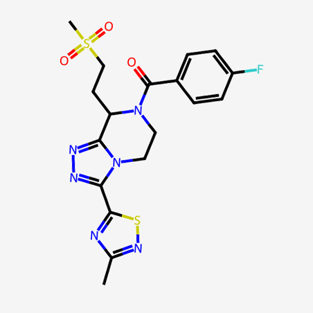 Cc1nsc(-c2nnc3n2CCN(C(=O)c2ccc(F)cc2)C3CCS(C)(=O)=O)n1